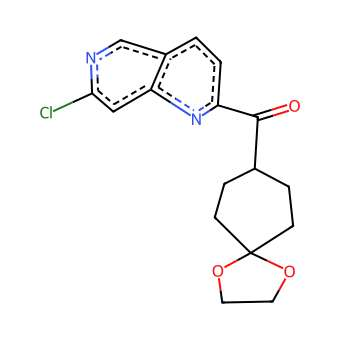 O=C(c1ccc2cnc(Cl)cc2n1)C1CCC2(CC1)OCCO2